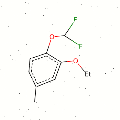 [CH2]c1ccc(OC(F)F)c(OCC)c1